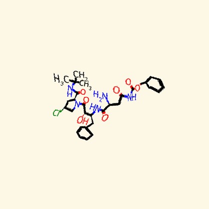 CC(C)(C)NC(=O)[C@@H]1C[C@H](Cl)CN1C(=O)[C@@H](O)[C@H](Cc1ccccc1)NC(=O)[C@@H](N)CC(=O)NC(=O)OCc1ccccc1